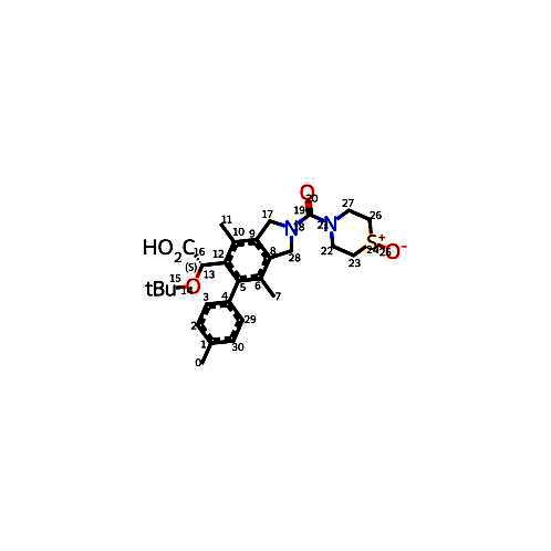 Cc1ccc(-c2c(C)c3c(c(C)c2[C@H](OC(C)(C)C)C(=O)O)CN(C(=O)N2CC[S+]([O-])CC2)C3)cc1